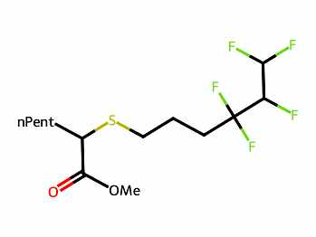 CCCCCC(SCCCC(F)(F)C(F)C(F)F)C(=O)OC